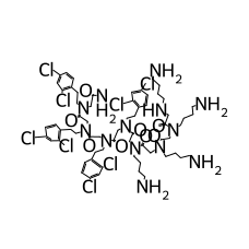 NCCCCNCC(=O)N(CCCCN)CC(=O)N(CCCCN)CC(=O)N(CCCCN)CC(=O)N(CCc1ccc(Cl)cc1Cl)CC(=O)N(CCc1ccc(Cl)cc1Cl)CC(=O)N(CCc1ccc(Cl)cc1Cl)CC(=O)N(CCc1ccc(Cl)cc1Cl)CC(N)=O